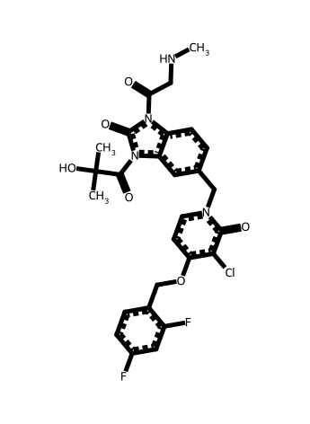 CNCC(=O)n1c(=O)n(C(=O)C(C)(C)O)c2cc(Cn3ccc(OCc4ccc(F)cc4F)c(Cl)c3=O)ccc21